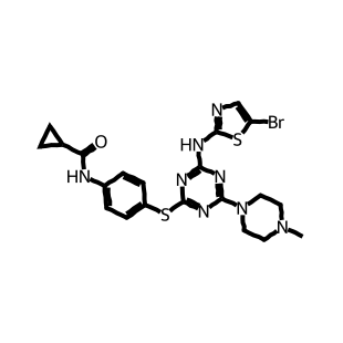 CN1CCN(c2nc(Nc3ncc(Br)s3)nc(Sc3ccc(NC(=O)C4CC4)cc3)n2)CC1